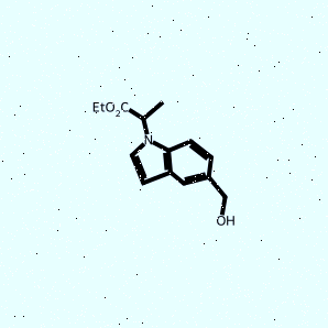 CCOC(=O)C(C)n1ccc2cc(CO)ccc21